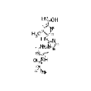 CCC(O)c1cc(C)c(Nc2nccn2-c2cc(NC(=O)[C@H]3C[C@H]3F)ncn2)cn1